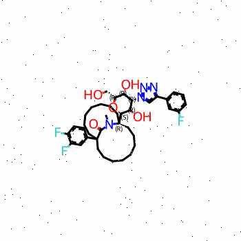 CN1C(=O)C2(c3ccc(F)c(F)c3)CCCCCCCC[C@]1([C@@H]1O[C@H](CO)[C@H](O)[C@H](n3cc(-c4cccc(F)c4)nn3)[C@H]1O)CCCCCCC2